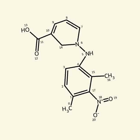 Cc1ccc(NN2C=CC=C(C(=O)O)C2)c(C)c1[N+](=O)[O-]